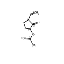 C=CC1CCN(OC(=O)C(C)(C)C)C1=O